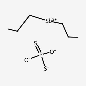 CC[CH2][Sb+3][CH2]CC.[O-]P([O-])(=S)[S-]